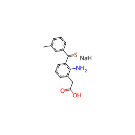 Cc1cccc(C(=S)c2cccc(CC(=O)O)c2N)c1.[NaH]